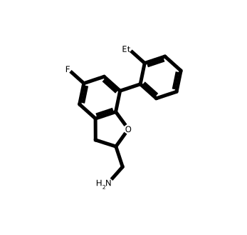 CCc1ccccc1-c1cc(F)cc2c1OC(CN)C2